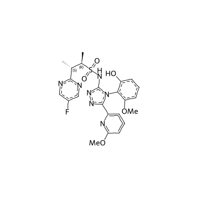 COC1=NC(c2nnc(NS(=O)(=O)[C@H](C)[C@@H](C)c3ncc(F)cn3)n2-c2c(O)cccc2OC)=C=C=C1